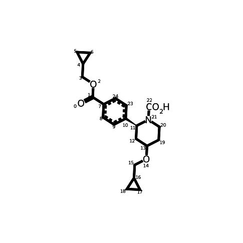 O=C(OCC1CC1)c1ccc([C@@H]2CC(OCC3CC3)CCN2C(=O)O)cc1